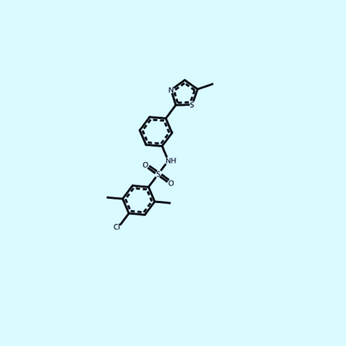 Cc1cnc(-c2cccc(NS(=O)(=O)c3cc(C)c(Cl)cc3C)c2)s1